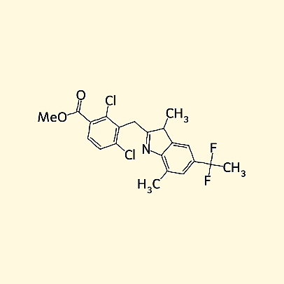 COC(=O)c1ccc(Cl)c(CC2=Nc3c(C)cc(C(C)(F)F)cc3C2C)c1Cl